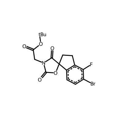 CC(C)(C)OC(=O)CN1C(=O)OC2(CCc3c2ccc(Br)c3F)C1=O